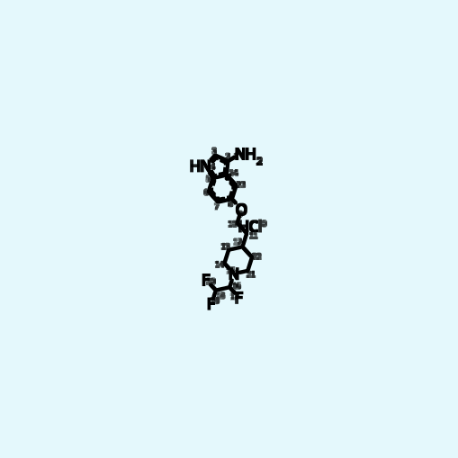 Cl.Nc1c[nH]c2ccc(OCCC3CCN(C(F)C(F)F)CC3)cc12